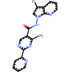 CCc1cn(NC(=O)c2cnc(-c3ccccn3)nc2C)c2ncccc12